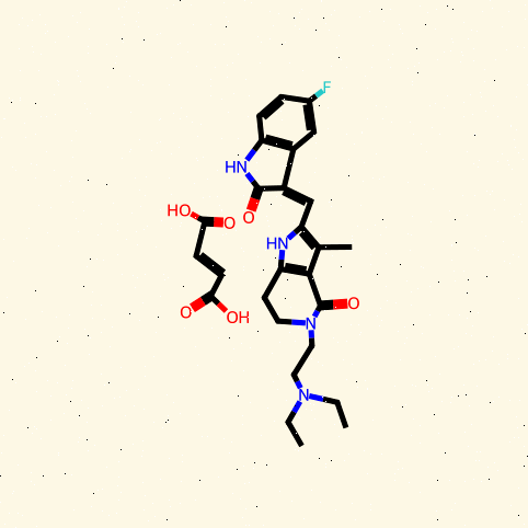 CCN(CC)CCN1CCc2[nH]c(C=C3C(=O)Nc4ccc(F)cc43)c(C)c2C1=O.O=C(O)C=CC(=O)O